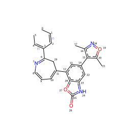 C/C=C\C(=C/C)C1=NC=CC=C(c2cc(-c3c(C)noc3C)cc3[nH]c(=O)oc23)C1